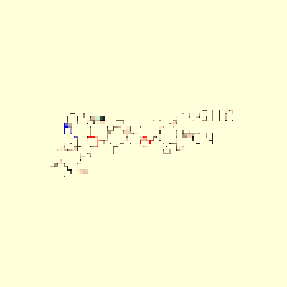 CO/N=C(\COc1ccc(COc2ccc(C(C#N)CC=O)cc2)cc1F)c1ccccc1